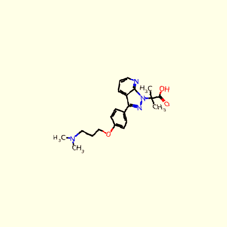 CN(C)CCCOc1ccc(-c2nn(C(C)(C)C(=O)O)c3ncccc23)cc1